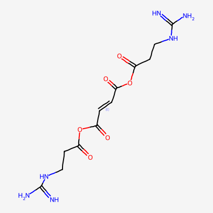 N=C(N)NCCC(=O)OC(=O)/C=C/C(=O)OC(=O)CCNC(=N)N